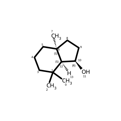 CC1(C)CCC[C@@]2(C)CC[C@@H](O)[C@@H]12